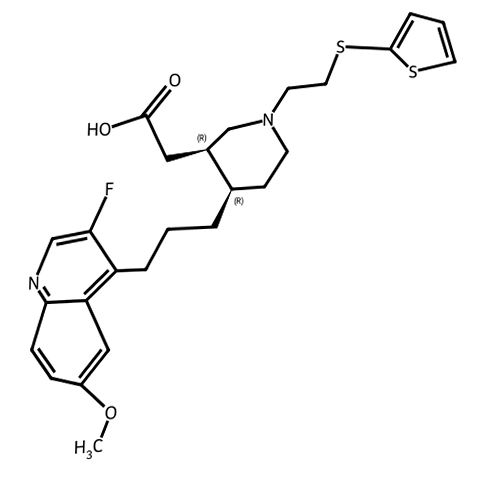 COc1ccc2ncc(F)c(CCC[C@@H]3CCN(CCSc4cccs4)C[C@@H]3CC(=O)O)c2c1